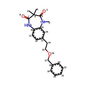 CN1C(=O)C(C)(C)C(=O)Nc2ccc(CCOCc3ccccc3)cc21